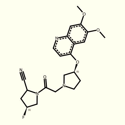 COc1cc2nccc(O[C@H]3CCN(CC(=O)N4C[C@@H](F)CC4C#N)C3)c2cc1OC